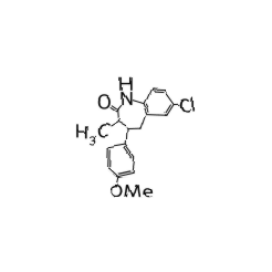 COc1ccc(C2Cc3cc(Cl)ccc3NC(=O)C2C)cc1